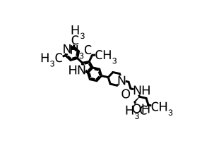 Cc1cc(-c2[nH]c3ccc(C4CCN(CC(=O)N[C@H](CO)CC(C)C)CC4)cc3c2C(C)C)cc(C)n1